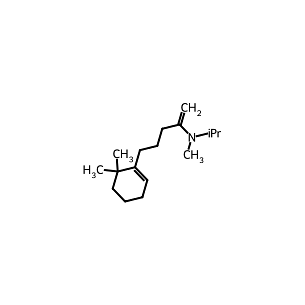 C=C(CCCC1=CCCCC1(C)C)N(C)C(C)C